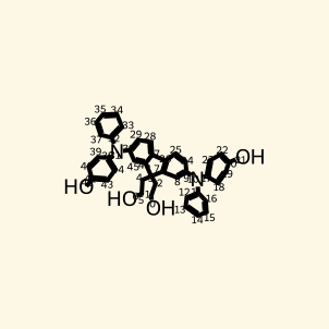 OCCC1(CCO)c2cc(N(c3ccccc3)c3ccc(O)cc3)ccc2-c2ccc(N(c3ccccc3)c3ccc(O)cc3)cc21